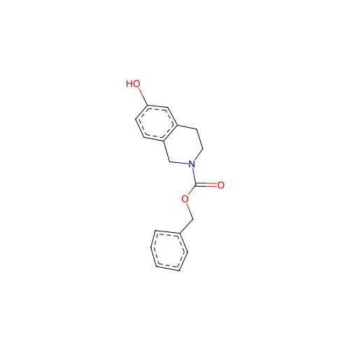 O=C(OCc1ccccc1)N1CCc2cc(O)ccc2C1